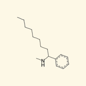 CCCCCCCCC(NC)c1ccccc1